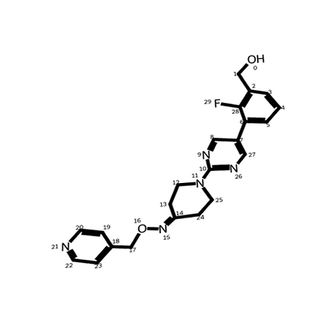 OCc1cccc(-c2cnc(N3CCC(=NOCc4ccncc4)CC3)nc2)c1F